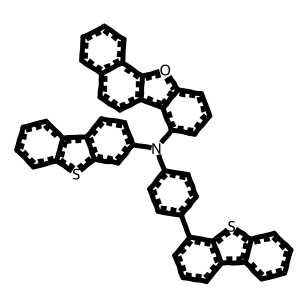 c1ccc2c(c1)ccc1c2oc2cccc(N(c3ccc(-c4cccc5c4sc4ccccc45)cc3)c3ccc4c(c3)sc3ccccc34)c21